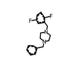 Fc1ccc(F)c(CN2CCN(Cc3ccccc3)CC2)c1